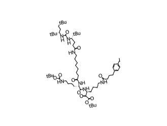 CC(C)(C)CC[C@H](NC(=O)N[C@@H](CCC(=O)NCCCCCCCC(=O)N[C@@H](CCCCNC(=O)OC(C)(C)C)C(=O)N[C@@H](CCCCNC(=O)CCCc1ccc(I)cc1)C(=O)C(=O)OC(C)(C)C)C(C)(C)C)C(C)(C)C